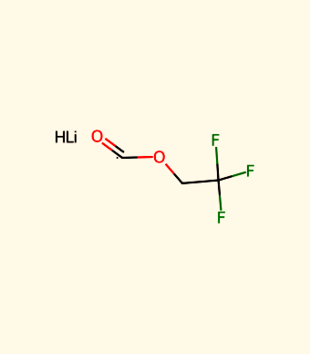 O=[C]OCC(F)(F)F.[LiH]